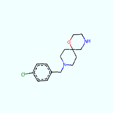 Clc1ccc(CN2CCC3(CC2)CNCCO3)cc1